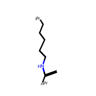 C=C(CCC)NCCCCCC(C)C